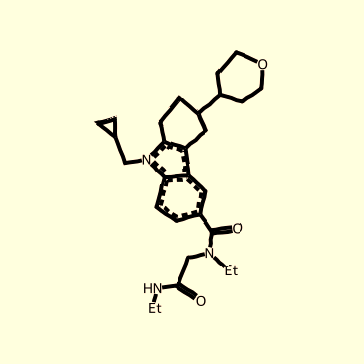 CCNC(=O)CN(CC)C(=O)c1ccc2c(c1)c1c(n2CC2CC2)CCC(C2CCOCC2)C1